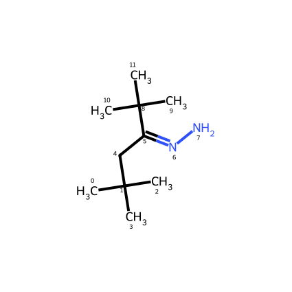 CC(C)(C)CC(=NN)C(C)(C)C